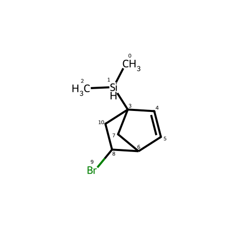 C[SiH](C)C12C=CC(C1)C(Br)C2